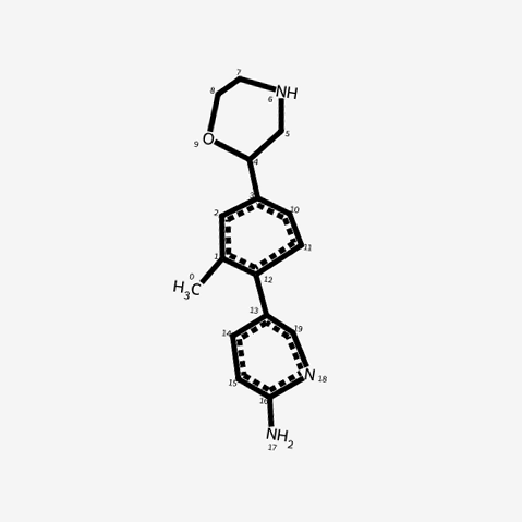 Cc1cc(C2CNCCO2)ccc1-c1ccc(N)nc1